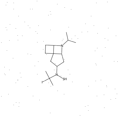 CC(C)N1C2CCC23CC(N(S)C(C)(C)I)CC13